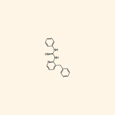 N=C(Nc1ccccc1)Nc1ncccc1Cc1ccccc1